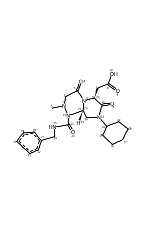 CN1CC(=O)N2[C@@H](CC(=O)O)C(=O)N(C3CCCCC3)C[C@@H]2N1C(=O)NCc1ccccc1